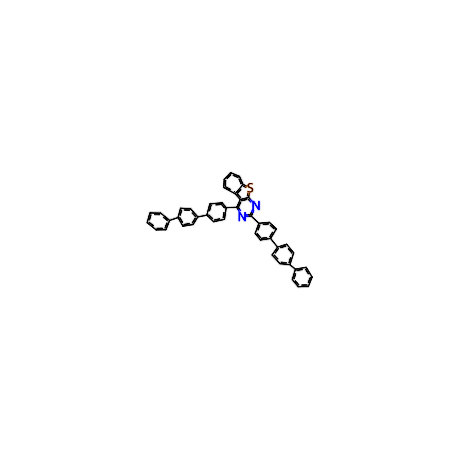 c1ccc(-c2ccc(-c3ccc(-c4nc(-c5ccc(-c6ccc(-c7ccccc7)cc6)cc5)c5c(n4)sc4ccccc45)cc3)cc2)cc1